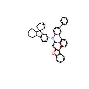 c1ccc(-c2ccc(N(c3ccc4c(c3)C3(CC5CCC3C5)C3CCCCC43)c3ccc4c(c3)oc3ccccc34)c(-c3ccccc3)c2)cc1